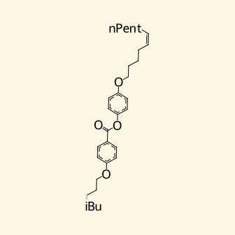 CCCCC/C=C\CCCCOc1ccc(OC(=O)c2ccc(OCCC[C@@H](C)CC)cc2)cc1